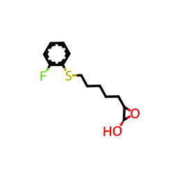 O[C@@H]1OC1CCCCCSc1ccccc1F